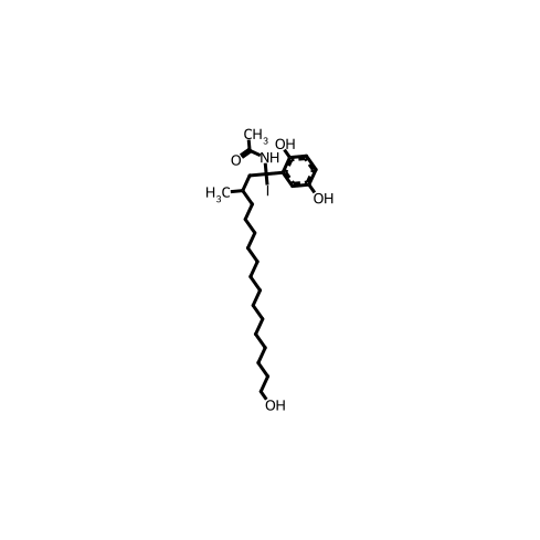 CC(=O)NC(I)(CC(C)CCCCCCCCCCCCCCO)c1cc(O)ccc1O